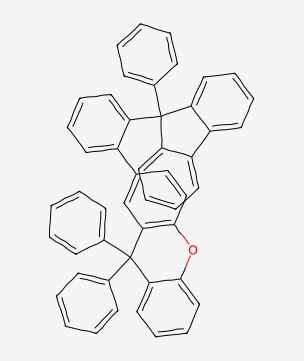 c1ccc(C2(c3ccccc3)c3ccccc3Oc3ccc(-c4ccccc4C4(c5ccccc5)c5ccccc5-c5ccccc54)cc32)cc1